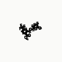 COC(=O)c1ccc(C(F)(F)F)nc1COCC1(C)CN(C)C(=O)O1